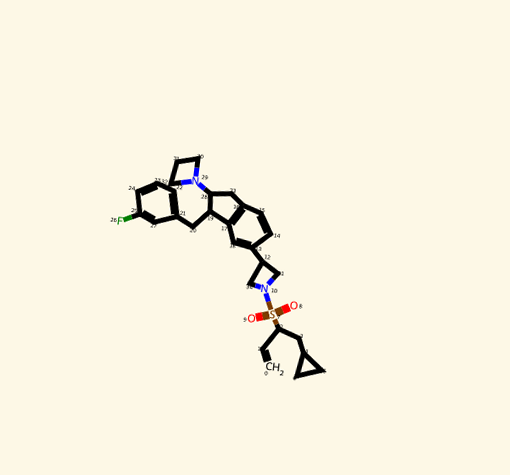 C=CC(CC1CC1)S(=O)(=O)N1CC(c2ccc3c(c2)C(Cc2cccc(F)c2)C(N2CCC2)C3)C1